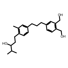 Cc1cc(CCCc2ccc(CO)c(CO)c2)ccc1CCC(O)C(C)C